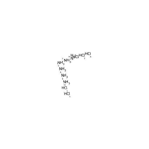 Cl.Cl.Cl.Cl.Cl.N.N.N.N.N.N